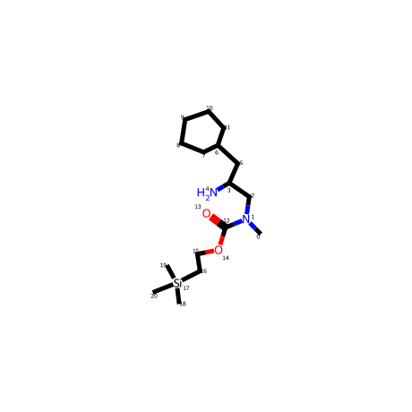 CN(CC(N)CC1CCCCC1)C(=O)OCC[Si](C)(C)C